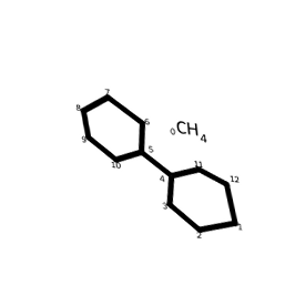 C.C1CCC(C2CCCCC2)CC1